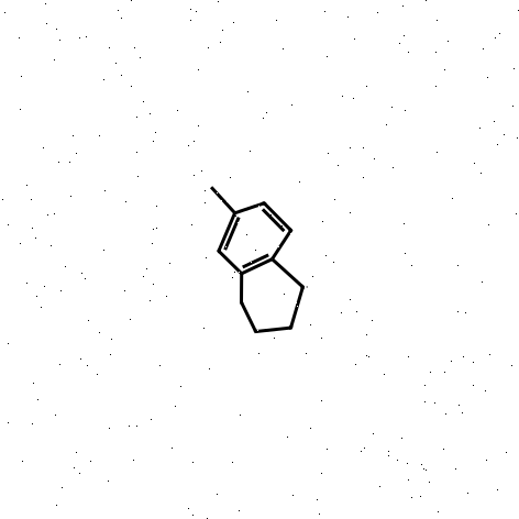 Cc1ccc2c(c1)CCC[CH]2